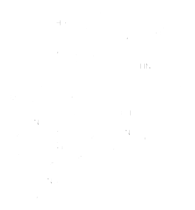 Cc1ccc(C(=O)NC2CC2)cc1-c1ccc2c(=O)n(Cc3cccnc3OCCCN(C)C)ccc2c1